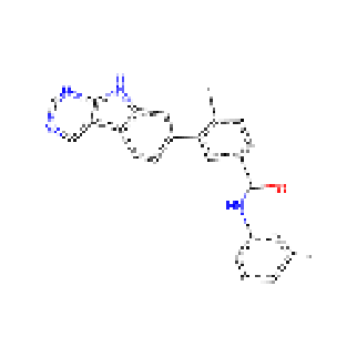 Cc1cccc(NC(=O)c2ccc(C)c(-c3ccc4c(c3)[nH]c3ncncc34)c2)c1